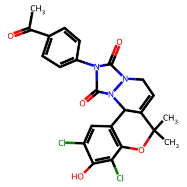 CC(=O)c1ccc(-n2c(=O)n3n(c2=O)C2C(=CC3)C(C)(C)Oc3c2cc(Cl)c(O)c3Cl)cc1